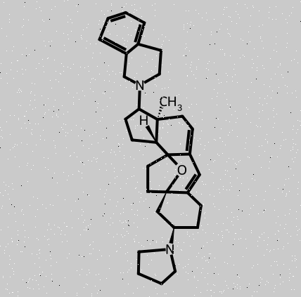 C[C@]12CC=C3C=C4CC[C@@H](N5CCCC5)C[C@]45CCC3(O5)[C@@H]1CCC2N1CCc2ccccc2C1